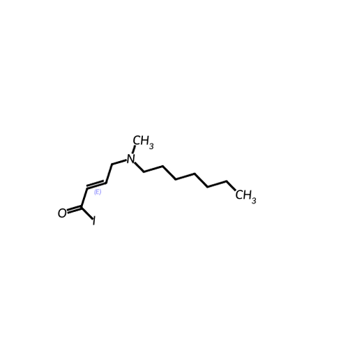 CCCCCCCN(C)C/C=C/C(=O)I